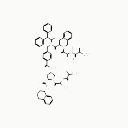 CNC(C)C(=O)NC(C(=O)N1Cc2ccccc2CC1C(=O)N(Cc1ccc(C(=O)N[C@H]2C[C@@H](C(=O)N[C@@H]3CCCc4ccccc43)N(C(=O)C(NC(=O)C(C)NC)C(C)(C)C)C2)cc1)C(C)C(c1ccccc1)c1ccccc1)C(C)(C)C